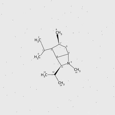 CC(C)C1C2C(C[C@@H]1C)N(C)[C@H]2C(C)C